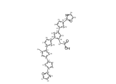 Cc1cc(-c2ccc(-c3ncco3)s2)sc1-c1ccc(-c2sc(-c3ccc(-c4ncco4)s3)cc2CC(=O)O)s1